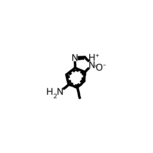 Cc1cc2c(cc1N)N=C[NH+]2[O-]